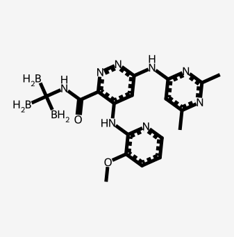 BC(B)(B)NC(=O)c1nnc(Nc2cc(C)nc(C)n2)cc1Nc1ncccc1OC